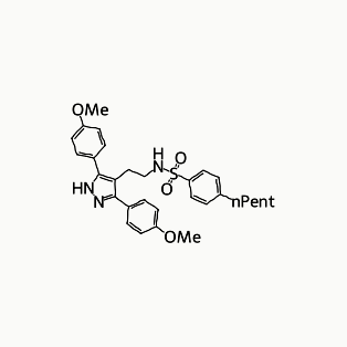 CCCCCc1ccc(S(=O)(=O)NCCc2c(-c3ccc(OC)cc3)n[nH]c2-c2ccc(OC)cc2)cc1